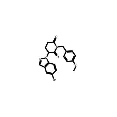 COc1ccc(CN2C(=O)CCC(n3ncc4cc(Br)ccc43)C2=O)cc1